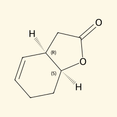 O=C1C[C@@H]2C=CCC[C@@H]2O1